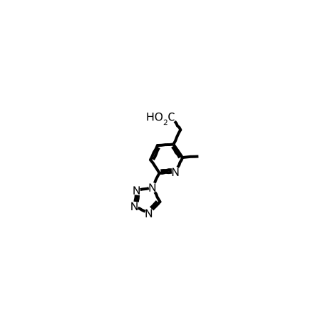 Cc1nc(-n2cnnn2)ccc1CC(=O)O